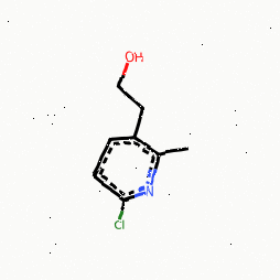 Cc1nc(Cl)ccc1CCO